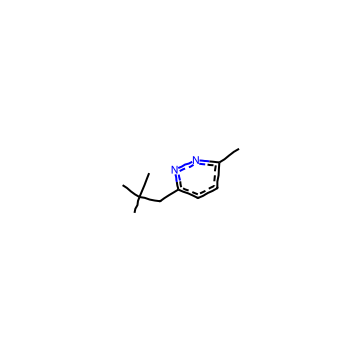 Cc1ccc(CC(C)(C)C)nn1